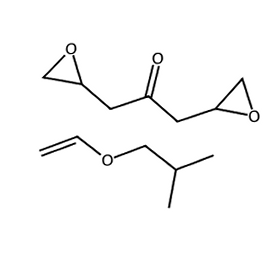 C=COCC(C)C.O=C(CC1CO1)CC1CO1